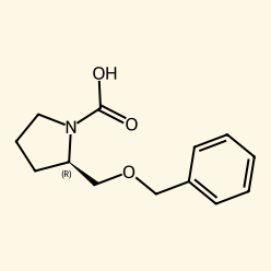 O=C(O)N1CCC[C@@H]1COCc1ccccc1